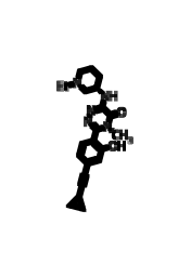 CCN1CCC[C@@H](Nc2nnc(-c3ccc(C#CC4CC4)cc3O)n(C)c2=O)C1